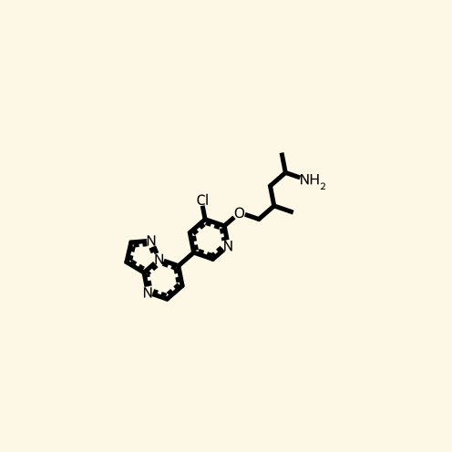 CC(N)CC(C)COc1ncc(-c2ccnc3ccnn23)cc1Cl